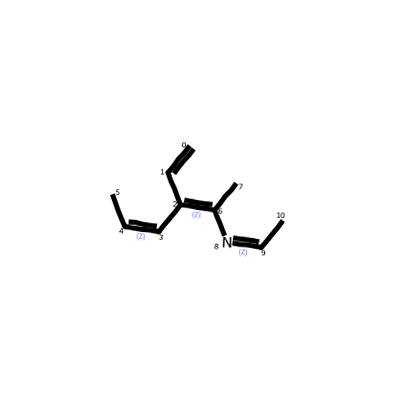 C=CC(/C=C\C)=C(C)/N=C\C